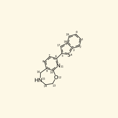 c1ccc2sc(-c3ccc4c(n3)OCCNC4)cc2c1